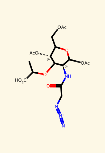 CC(=O)OCC1OC(OC(C)=O)[C@@H](NC(=O)CN=[N+]=[N-])C(OC(C)C(=O)O)[C@@H]1OC(C)=O